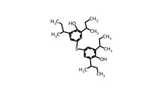 CCC(C)c1cc(Sc2cc(C(C)CC)c(O)c(C(C)CC)c2)cc(C(C)CC)c1O